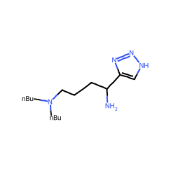 CCCCN(CCCC)CCCC(N)c1c[nH]nn1